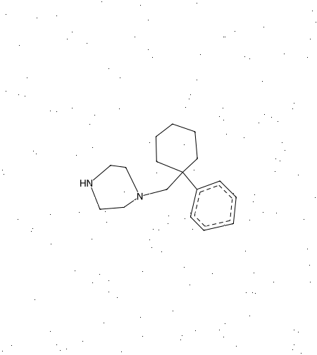 c1ccc(C2(CN3CCNCC3)CCCCC2)cc1